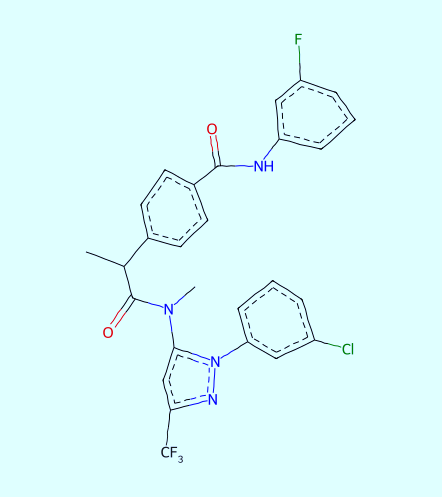 CC(C(=O)N(C)c1cc(C(F)(F)F)nn1-c1cccc(Cl)c1)c1ccc(C(=O)Nc2cccc(F)c2)cc1